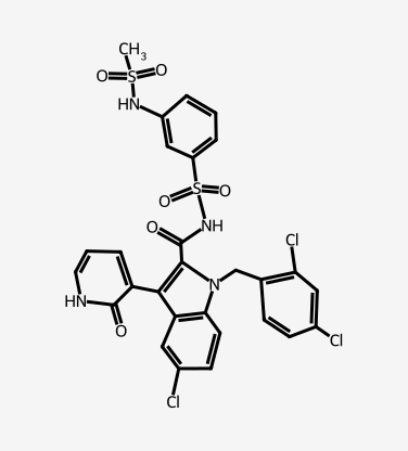 CS(=O)(=O)Nc1cccc(S(=O)(=O)NC(=O)c2c(-c3ccc[nH]c3=O)c3cc(Cl)ccc3n2Cc2ccc(Cl)cc2Cl)c1